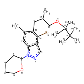 Cc1cc2c(cnn2C2CCCCO2)c(Br)c1CC(C)CO[Si](C)(C)C(C)(C)C